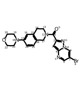 O=C(c1cc2ncc(Br)cn2n1)N1CCc2cc(N3CCOCC3)ccc2C1